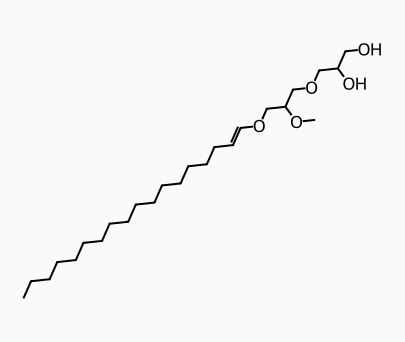 CCCCCCCCCCCCCCCCC=COCC(COCC(O)CO)OC